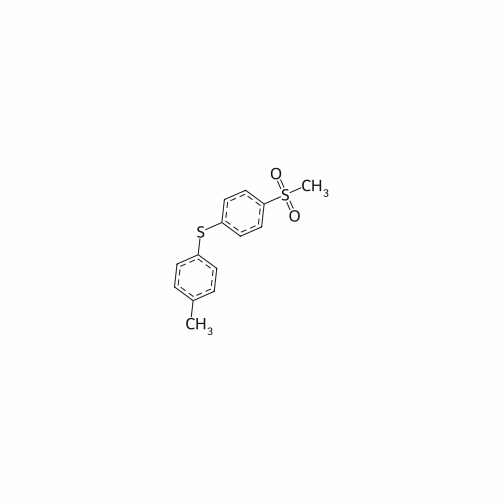 Cc1ccc(Sc2ccc(S(C)(=O)=O)cc2)cc1